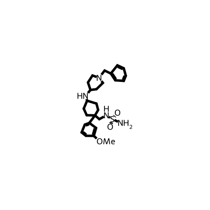 COc1cccc(C2(CNS(N)(=O)=O)CCC(NC3CCN(Cc4ccccc4)CC3)CC2)c1